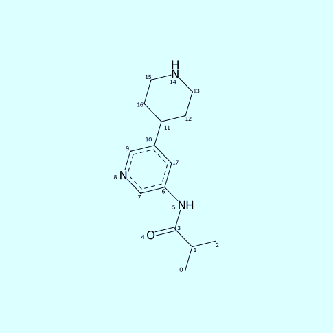 CC(C)C(=O)Nc1cncc(C2CCNCC2)c1